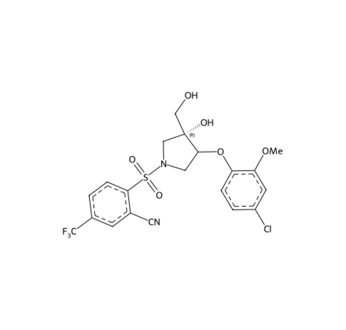 COc1cc(Cl)ccc1OC1CN(S(=O)(=O)c2ccc(C(F)(F)F)cc2C#N)C[C@@]1(O)CO